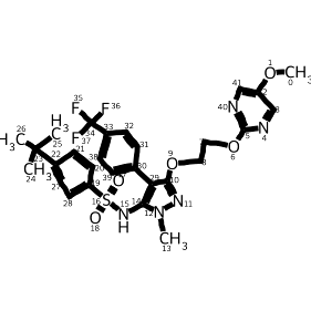 COc1cnc(OCCOc2nn(C)c(NS(=O)(=O)c3ccc(C(C)(C)C)cc3)c2-c2ccc(C(F)(F)F)cc2)nc1